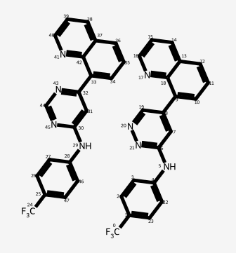 FC(F)(F)c1ccc(Nc2cc(-c3cccc4cccnc34)cnn2)cc1.FC(F)(F)c1ccc(Nc2cc(-c3cccc4cccnc34)ncn2)cc1